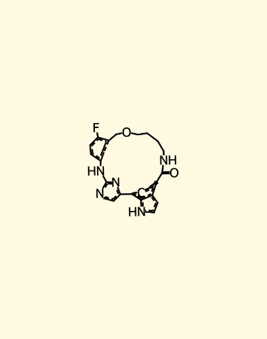 O=C1NCCCCOCc2cc(ccc2F)Nc2nccc(n2)-c2ccc1c1cc[nH]c21